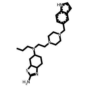 CCCN(CCN1CCN(Cc2ccc3[nH]ccc3c2)CC1)C1CCC2N=C(N)SC2C1